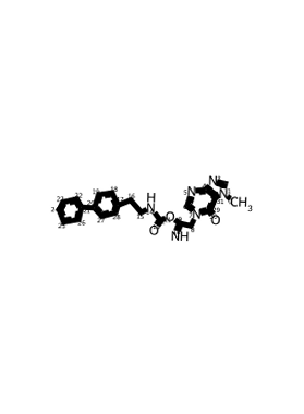 Cn1cnc2ncn(CC(=N)OC(=O)NCCc3ccc(-c4ccccc4)cc3)c(=O)c21